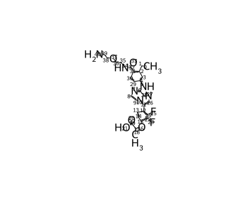 CCc1cc(Nc2nccn3c(-c4ccc(OC(C)C(=O)O)c(F)c4F)cnc23)ccc1C(=O)NCCOCCN